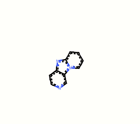 [c]1nccc2nc3ccccn3c12